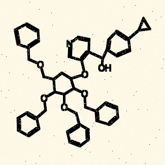 OC(c1ccc(C2CC2)cc1)c1ccncc1OC1CC(COCc2ccccc2)C(OCc2ccccc2)C(OCc2ccccc2)C1OCc1ccccc1